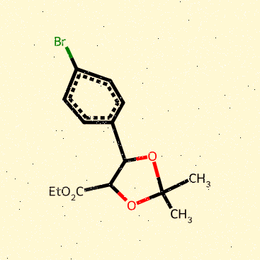 CCOC(=O)C1OC(C)(C)OC1c1ccc(Br)cc1